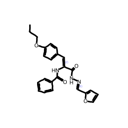 CCCOc1ccc(/C=C(\NC(=O)c2ccccc2)C(=O)N/N=C/c2ccco2)cc1